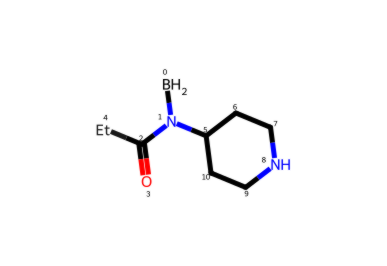 BN(C(=O)CC)C1CCNCC1